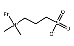 CC[N+](C)(C)CCCS(=O)(=O)[O-]